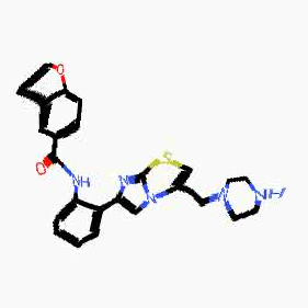 O=C(Nc1ccccc1-c1cn2c(CN3CCNCC3)csc2n1)c1ccc2occc2c1